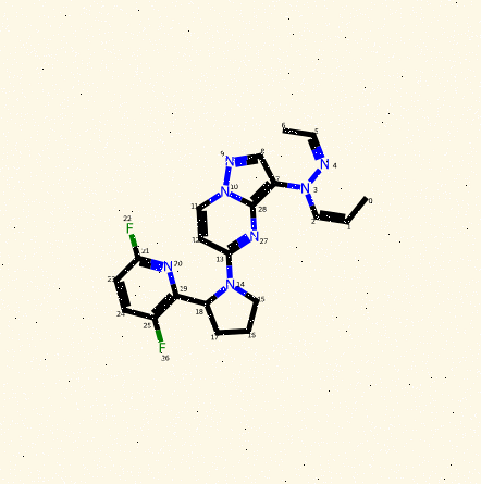 C/C=C\N(/N=C\C)c1cnn2ccc(N3CCCC3c3nc(F)ccc3F)nc12